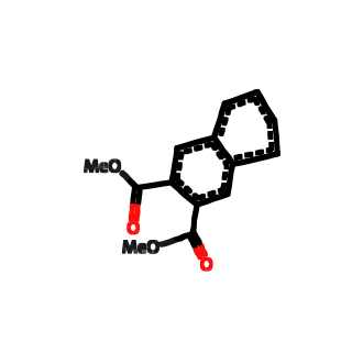 COC(=O)c1cc2ccccc2cc1C(=O)OC